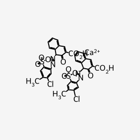 Cc1cc(S(=O)(=O)[O-])c(N=NC2C(=O)C(C(=O)O)=Cc3ccccc32)cc1Cl.Cc1cc(S(=O)(=O)[O-])c(N=NC2C(=O)C(C(=O)O)=Cc3ccccc32)cc1Cl.[Ca+2]